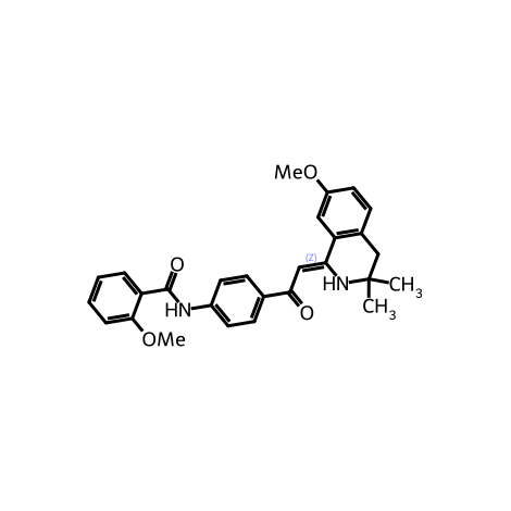 COc1ccc2c(c1)/C(=C/C(=O)c1ccc(NC(=O)c3ccccc3OC)cc1)NC(C)(C)C2